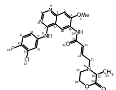 COc1cc2ncnc(Nc3ccc(F)c(Cl)c3)c2cc1NC(=O)C=CCN1CCOC(=O)[C@@H]1C